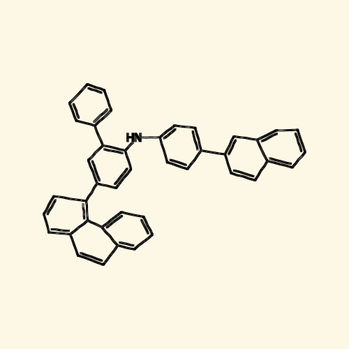 c1ccc(-c2cc(-c3cccc4ccc5ccccc5c34)ccc2Nc2ccc(-c3ccc4ccccc4c3)cc2)cc1